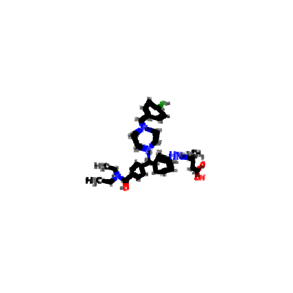 CCN(CC)C(=O)c1ccc([C@H](c2cccc(NC(C)CC(=O)O)c2)N2CCN(Cc3ccc(F)cc3)CC2)cc1